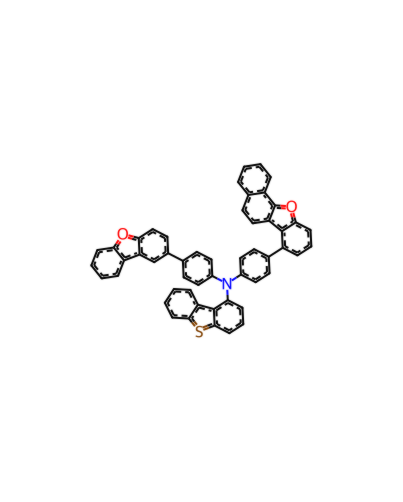 c1ccc2c(c1)ccc1c2oc2cccc(-c3ccc(N(c4ccc(-c5ccc6oc7ccccc7c6c5)cc4)c4cccc5sc6ccccc6c45)cc3)c21